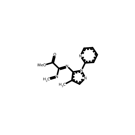 C=N/C(=N\c1c(C)cnn1-c1ccccn1)C(=O)OC